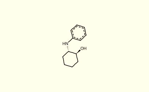 O[C@H]1CCCC[C@@H]1Nc1ccccc1